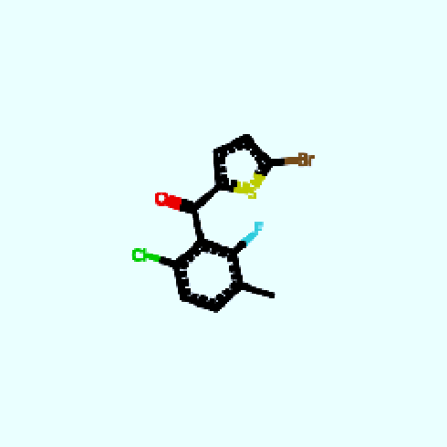 Cc1ccc(Cl)c(C(=O)c2ccc(Br)s2)c1F